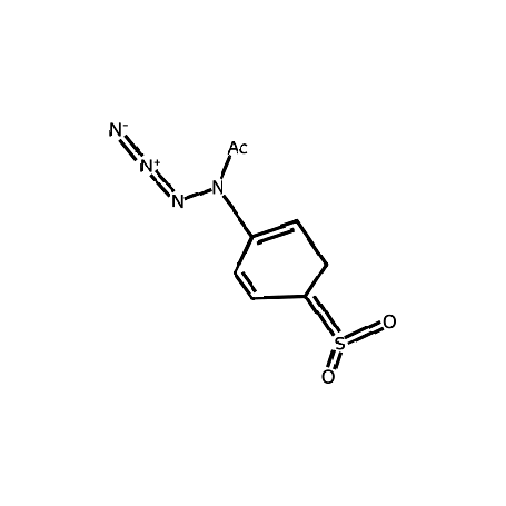 CC(=O)N(N=[N+]=[N-])C1=CCC(=S(=O)=O)C=C1